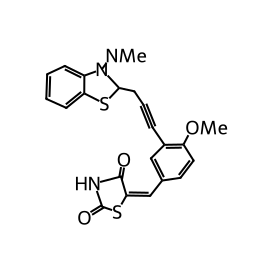 CNN1c2ccccc2SC1CC#Cc1cc(C=C2SC(=O)NC2=O)ccc1OC